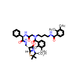 CC(=O)Oc1cccc(C(=O)NCCCCN(CC(=O)N[C@@H](C(=O)NC[C@@H]2C(=O)N3[C@@H](C(=O)O)C(C)(C)S[C@@H]23)c2ccccc2)C(=O)c2cccc(OC(C)=O)c2OC(C)=O)c1OC(C)=O